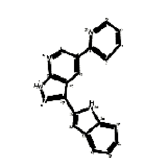 c1ccc(-c2cnc3[nH]nc(-c4cc5ccccc5[nH]4)c3c2)nc1